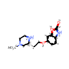 O=C(O)N1CCN[C@H](CCOc2ccc3[nH]c(=O)oc3c2)C1